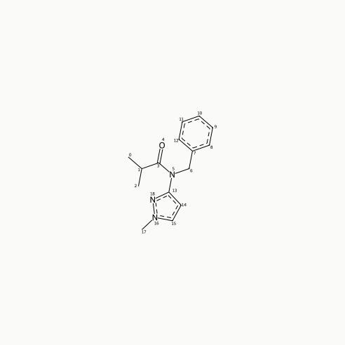 CC(C)C(=O)N(Cc1ccccc1)c1ccn(C)n1